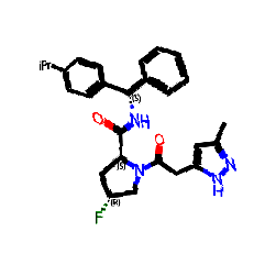 Cc1cc(CC(=O)N2C[C@H](F)C[C@H]2C(=O)N[C@@H](c2ccccc2)c2ccc(C(C)C)cc2)[nH]n1